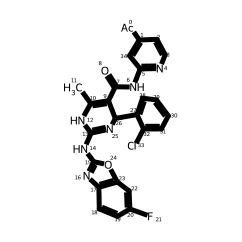 CC(=O)c1ccnc(NC(=O)C2=C(C)NC(Nc3nc4ccc(F)cc4o3)=NC2c2ccccc2Cl)c1